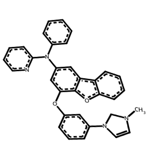 CN1C=CN(c2cccc(Oc3cc(N(c4ccccc4)c4ccccn4)cc4c3oc3ccccc34)c2)C1